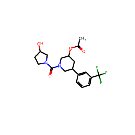 CC(=O)OC1CC(c2cccc(C(F)(F)F)c2)CN(C(=O)N2CCC(O)C2)C1